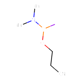 CC(C)N(C(C)C)P(I)OCCC#N